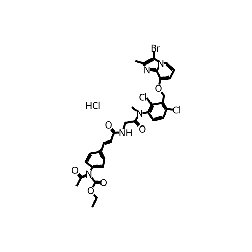 CCOC(=O)N(C(C)=O)c1ccc(C=CC(=O)NCC(=O)N(C)c2ccc(Cl)c(COc3cccn4c(Br)c(C)nc34)c2Cl)cc1.Cl